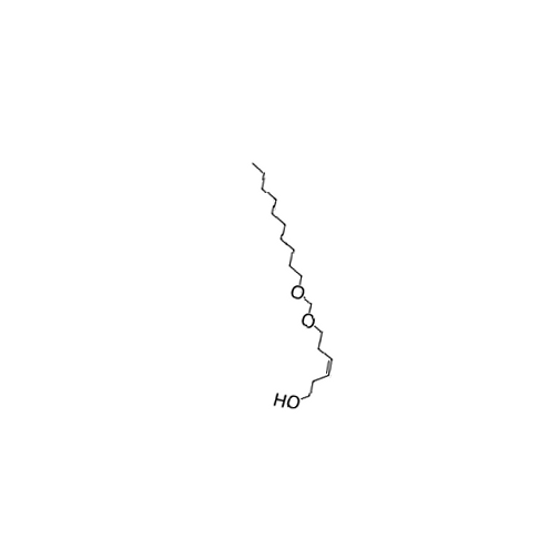 CCCCCCCCCCOCOCC/C=C\CCO